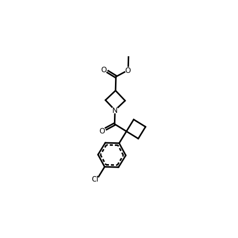 COC(=O)C1CN(C(=O)C2(c3ccc(Cl)cc3)CCC2)C1